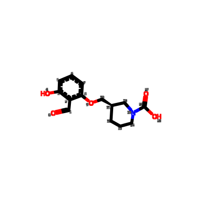 O=Cc1c(O)cccc1OC[C@@H]1CCCN(C(=O)O)C1